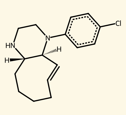 Clc1ccc(N2CCN[C@H]3CCCC/C=C/[C@@H]32)cc1